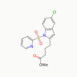 COC(=O)CCCc1cc2cc(Cl)ccc2n1S(=O)(=O)c1ccccn1